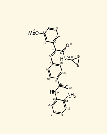 COc1cccc(C(=Cc2ccc(C(=O)Nc3ccccc3N)cc2)C(=O)NC2CC2)c1